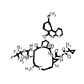 COc1ccc2c(O[C@@H]3C[C@H]4C(=O)N[C@]5(C(=O)NS(=O)(=O)C6(C)CC6)C[C@H]5/C=C\CC[C@@H](C)C[C@@H](C)[C@H](NC(=O)OC(C)(C)C(F)(F)F)C(=O)N4C3)nc3c(c2c1)CCCO3